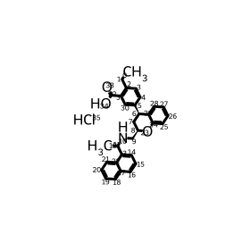 CCc1ccc([C@@H]2C[C@H](CNC(C)c3cccc4ccccc34)Oc3ccccc32)cc1C(=O)O.Cl